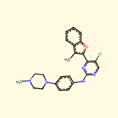 Cc1c(-c2nc(Nc3ccc(N4CCN(C)CC4)cc3)ncc2Cl)oc2ccccc12